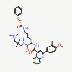 COc1ccc(-c2cc(C(=O)NC(CCCCNC(=O)OCc3ccccc3)C(=O)NCC(C)(C)CN(C)C)c3ccccc3n2)cc1C